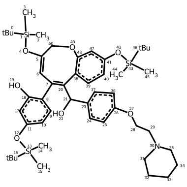 CC(C)(C)[Si](C)(C)O/C1=C/C(c2ccc(O[Si](C)(C)C(C)(C)C)cc2O)=C(/C(O)c2ccc(OCCN3CCCCC3)cc2)c2ccc(O[Si](C)(C)C(C)(C)C)cc2OC1